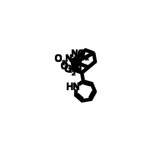 O=[N+]([O-])C1([N+](=O)[O-])C2CC3CC1C(C1=CC=CC=CN1)C(C2)C3([N+](=O)[O-])[N+](=O)[O-]